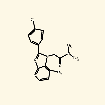 Cc1ccnc2nc(-c3ccc(Cl)cc3)n(CC(=O)N(C)C)c12